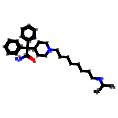 CC(C)NCCCCCCCCN1CCC(C(C(N)=O)(c2ccccc2)c2ccccc2)CC1